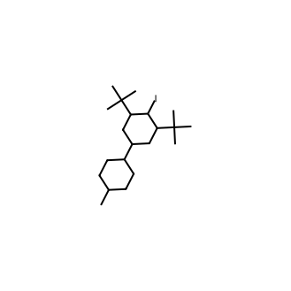 CC1CCC(C2CC(C(C)(C)C)C(I)C(C(C)(C)C)C2)CC1